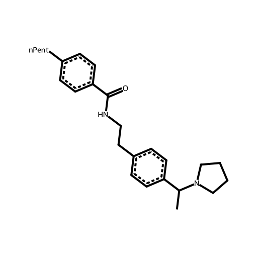 CCCCCc1ccc(C(=O)NCCc2ccc(C(C)N3CCCC3)cc2)cc1